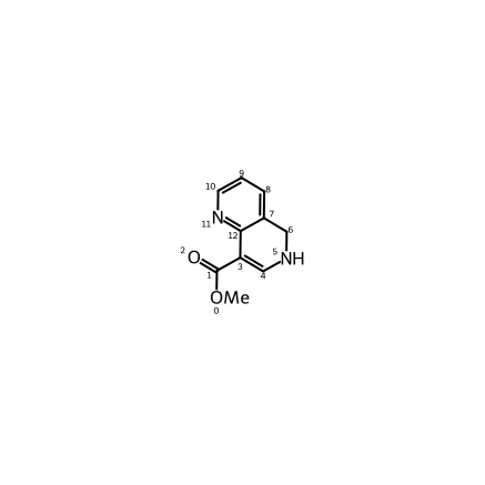 COC(=O)C1=CNCc2cccnc21